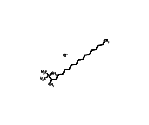 CCCCCCCCCCCCCCCCC(C)[N+](C)(C)C.[Cl-]